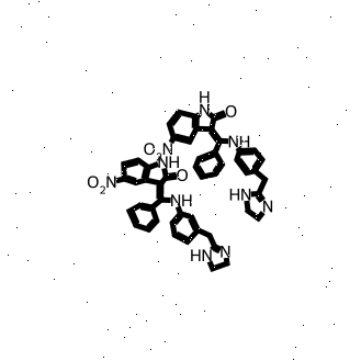 O=C1Nc2ccc([N+](=O)[O-])cc2/C1=C(/Nc1ccc(CC2=NCCN2)cc1)c1ccccc1.O=C1Nc2ccc([N+](=O)[O-])cc2/C1=C(/Nc1cccc(CC2=NCCN2)c1)c1ccccc1